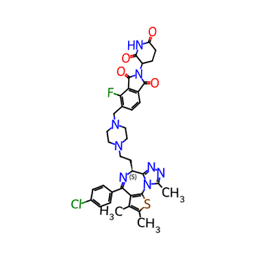 Cc1sc2c(c1C)C(c1ccc(Cl)cc1)=N[C@@H](CCN1CCN(Cc3ccc4c(c3F)C(=O)N(C3CCC(=O)NC3=O)C4=O)CC1)c1nnc(C)n1-2